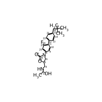 CC(O)NCC1CN(c2ccc(-c3ccc(CC(C)(C)C)cc3)c(F)c2)C(=O)O1